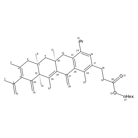 C=C(C)C1=C(C)C[C@@]2(C)C[C@@]3(C)Cc4c(C(C)C)cc(CCC(=O)OCCCCCC)c(C)c4C(=C)C3=C(C)[C@@]2(C)C1=C